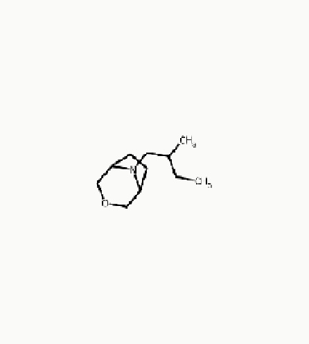 CCC(C)CN1C2CCC1COC2